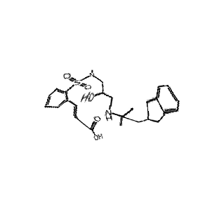 CN(CC(O)CNC(C)(C)CC1Cc2ccccc2C1)S(=O)(=O)c1ccccc1C=CC(=O)O